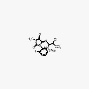 CSNC(/N=C1/C(=O)N(C)C(=O)N1c1ccccc1F)C(Cl)C(Cl)(Cl)Cl